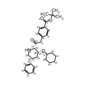 CC(C)(C)OC(=O)c1ccc(CC(=O)[C@H]2NC[C@@H](c3ccccc3)C[C@H]2OC2CCCCC2)cc1